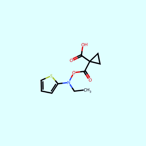 CCN(OC(=O)C1(C(=O)O)CC1)c1cccs1